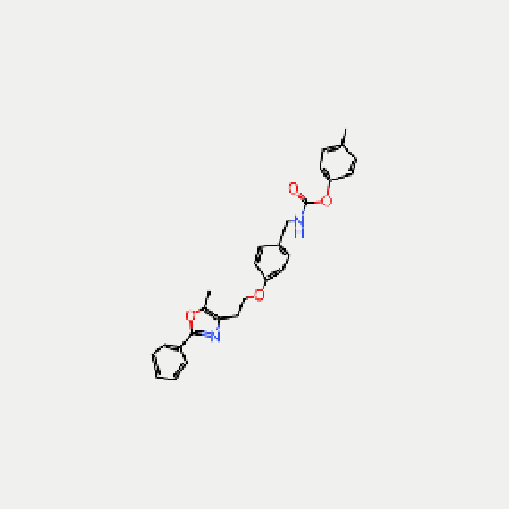 Cc1ccc(OC(=O)NCc2ccc(OCCc3nc(-c4ccccc4)oc3C)cc2)cc1